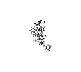 CCCCCCOC(=O)c1ccccc1O.CCCCOC(=O)CC1CCCCC1.O=C(OCc1ccccc1)c1ccccc1O